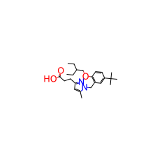 CCC(CC)COc1ccc(C(C)(C)C)cc1Cn1nc(CCC(=O)O)cc1C